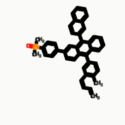 C=C/C=C\c1cc(-c2c3ccccc3c(-c3ccc4ccccc4c3)c3cc(-c4ccc(P(C)(C)=O)cc4)ccc23)ccc1C